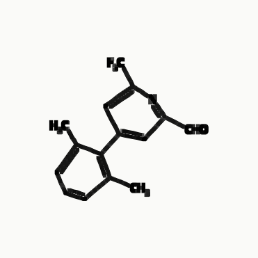 Cc1cccc(C)c1-c1cc(C=O)nc(C(F)(F)F)c1